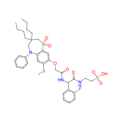 CCCCC1(CCCC)CN(c2ccccc2)c2cc(SC)c(OCC(=O)NC(C(=O)NCCS(=O)(=O)O)c3ccccc3F)cc2S(=O)(=O)C1